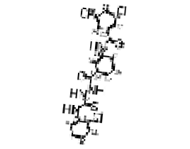 O=C(NNC(=S)Nc1ccccc1Cl)c1cccc(NC(=O)c2cc(Cl)cc(Cl)c2)c1